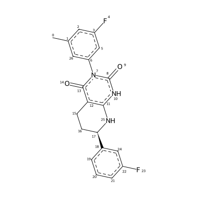 Cc1cc(F)cc(-n2c(=O)[nH]c3c(c2=O)CC[C@H](c2cccc(F)c2)N3)c1